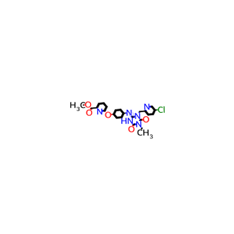 CCn1c(=O)[nH]/c(=N\c2ccc(Oc3cccc(C(=O)OC)n3)cc2)n(Cc2ccc(Cl)cn2)c1=O